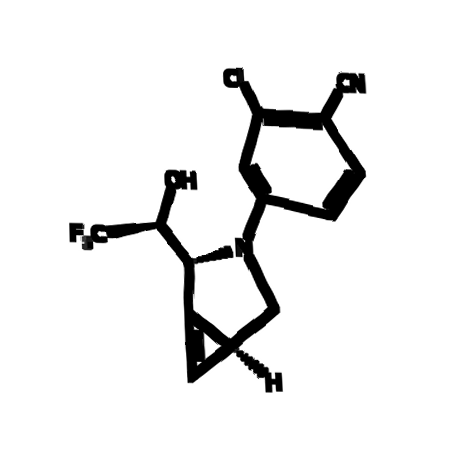 N#Cc1ccc(N2C[C@H]3C=C3[C@@H]2[C@H](O)C(F)(F)F)cc1Cl